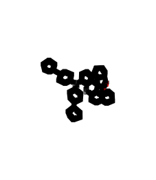 c1ccc(-c2ccc(N(c3ccc(-c4ccccc4)cc3)c3cccc4c3Sc3ccc5ccccc5c3C43c4ccccc4-c4ccccc43)cc2)cc1